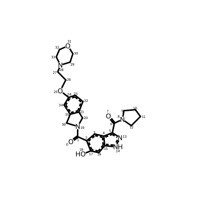 O=C(c1cc2c(C(=O)N3CCCC3)n[nH]c2cc1O)N1Cc2ccc(OCCN3CCOCC3)cc2C1